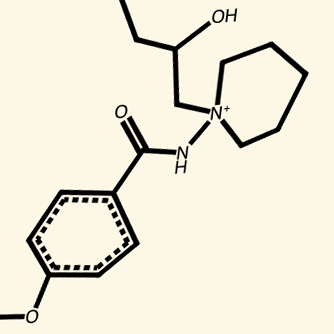 CCC(O)C[N+]1(NC(=O)c2ccc(OC)cc2)CCCCC1